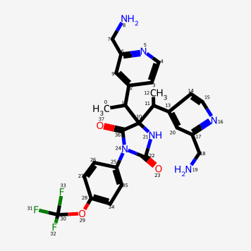 CC(c1ccnc(CN)c1)C1(C(C)c2ccnc(CN)c2)NC(=O)N(c2ccc(OC(F)(F)F)cc2)C1=O